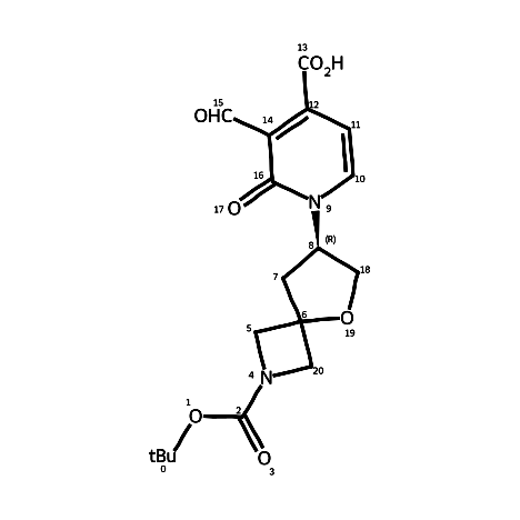 CC(C)(C)OC(=O)N1CC2(C[C@@H](n3ccc(C(=O)O)c(C=O)c3=O)CO2)C1